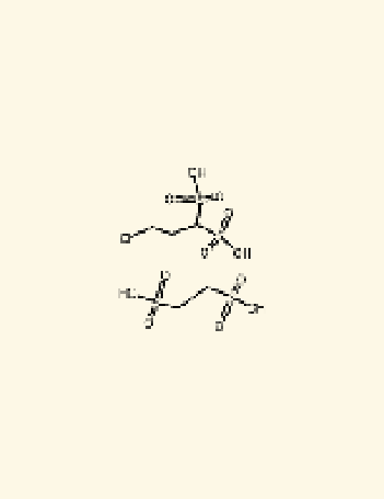 O=S(=O)(O)C(CCCl)S(=O)(=O)O.O=S(=O)(O)CCS(=O)(=O)O